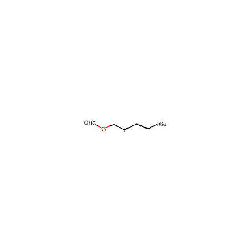 CCCCCC[CH]COC=O